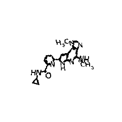 CNc1nc2[nH]c(-c3cccc(C(=O)NC4CC4)n3)cc2c2c1ncn2C